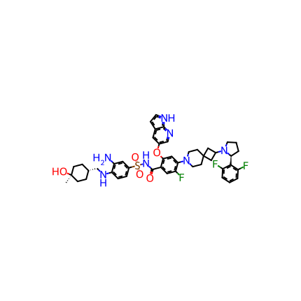 C[C@]1(O)CC[C@H](CNc2ccc(S(=O)(=O)NC(=O)c3cc(F)c(N4CCC5(CC4)CC(N4CCC[C@H]4c4c(F)cccc4F)C5)cc3Oc3cnc4[nH]ccc4c3)cc2N)CC1